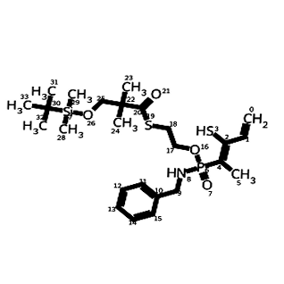 C=CC(S)=C(C)P(=O)(NCc1ccccc1)OCCSC(=O)C(C)(C)CO[Si](C)(C)C(C)(C)C